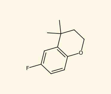 CC1(C)CCOc2ccc(F)cc21